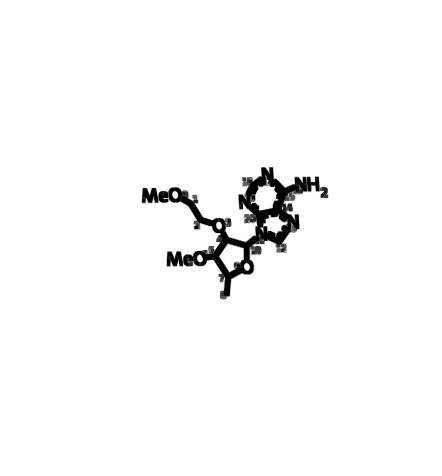 COCCOC1C(OC)C(C)OC1n1cnc2c(N)ncnc21